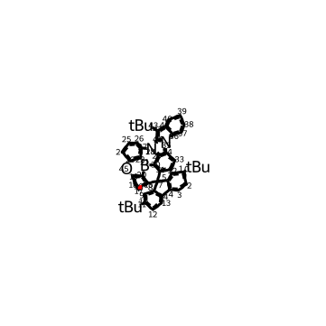 CC(C)(C)c1ccc2c(c1)C1(c3cc(C(C)(C)C)ccc3-2)c2cccc3c2B2c4c(cccc4-n4c5c2c1ccc5n1c2ccccc2c(C(C)(C)C)c41)O3